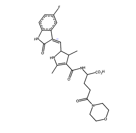 CC1=C(C(=O)NC(CCC(=O)N2CCOCC2)C(=O)O)C(C)C(/C=C2\C(=O)Nc3ccc(F)cc32)N1